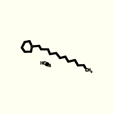 C#N.CCCCCCCCCCCCN1CCCCC1